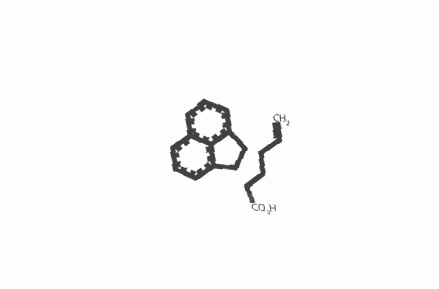 C=CCCCC(=O)O.c1cc2c3c(cccc3c1)CC2